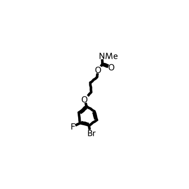 CNC(=O)OCCCOc1ccc(Br)c(F)c1